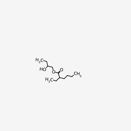 CCCCC(CC)C(=O)OCC(O)CC